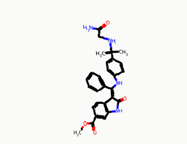 COC(=O)c1ccc2c(c1)NC(=O)/C2=C(\Nc1ccc(C(C)(C)NCC(N)=O)cc1)c1ccccc1